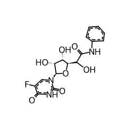 O=C(Nc1ccccc1)C(O)[C@H]1O[C@@H](n2cc(F)c(=O)[nH]c2=O)[C@H](O)[C@@H]1O